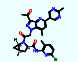 CC(=O)c1nn(CC(=O)N2[C@H](C(=O)Nc3nc(Br)ccc3C)C[C@@]3(C)C[C@@H]23)c2c(C)cc(-c3cnc(C)nc3)nc12